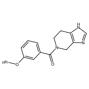 CCCOc1cccc(C(=O)N2CCc3[nH]cnc3C2)c1